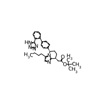 CCCCc1cnc2n1[C@@H](c1ccc(-c3ccccc3-c3nnn[nH]3)cc1)CC[C@H]2CC(=O)OC(C)(C)C